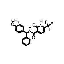 COc1ccc(C(NC(=O)c2ccc(C(F)(F)F)[nH]c2=O)c2ccccc2)cc1